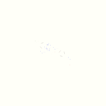 CCC(C)Nc1cc(Cl)cc2nc(NC(=O)c3ccc(CN4CCOCC4)cc3)nn12